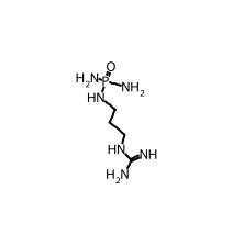 N=C(N)NCCCNP(N)(N)=O